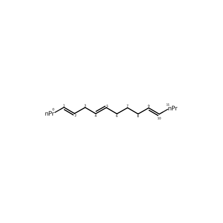 CCCC=CCC=CCCCC=CCCC